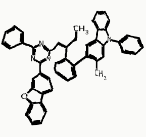 CCC(Cc1nc(-c2ccccc2)nc(-c2ccc3c(c2)oc2ccccc23)n1)c1ccccc1-c1cc2c3ccccc3n(-c3ccccc3)c2cc1C